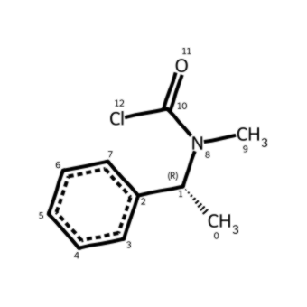 C[C@H](c1ccccc1)N(C)C(=O)Cl